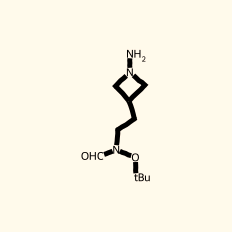 CC(C)(C)ON(C=O)CCC1CN(N)C1